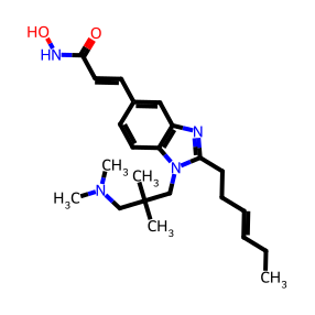 CC/C=C/CCc1nc2cc(/C=C/C(=O)NO)ccc2n1CC(C)(C)CN(C)C